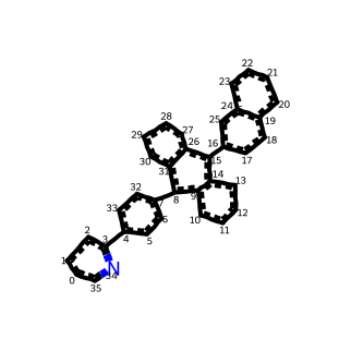 c1ccc(-c2ccc(-c3c4ccccc4c(-c4ccc5ccccc5c4)c4ccccc34)cc2)nc1